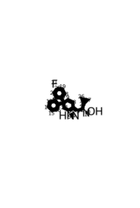 O/N=C(/c1n[nH]c2c1C=CC(c1ccccc1)(c1ccc(F)cc1)C2)C1CC1